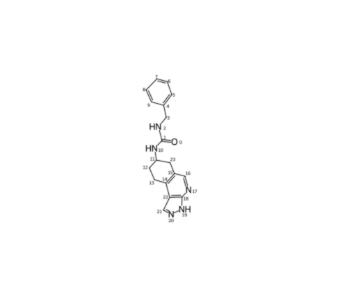 O=C(NCc1ccccc1)NC1CCc2c(cnc3[nH]ncc23)C1